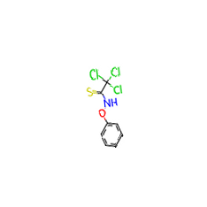 S=C(NOc1ccccc1)C(Cl)(Cl)Cl